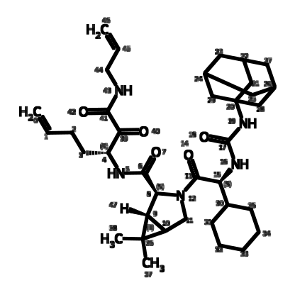 C=CCC[C@@H](NC(=O)[C@@H]1[C@@H]2C(CN1C(=O)[C@@H](NC(=O)NC13CC4CC(CC(C4)C1)C3)C1CCCCC1)C2(C)C)C(=O)C(=O)NCC=C